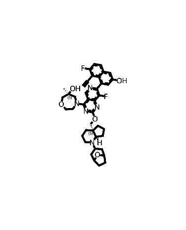 C#Cc1c(F)ccc2cc(O)cc(-c3ncc4c(N5CCOC[C@@](C)(O)C5)nc(OC[C@]56CCC[C@H]5N(C5CC7CCC(C5)O7)CCC6)nc4c3F)c12